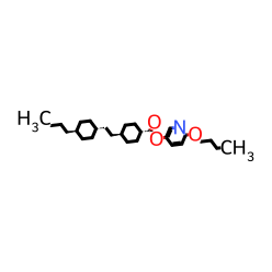 CCCCOc1ccc(OC(=O)[C@H]2CC[C@H](CC[C@H]3CC[C@H](CCCC)CC3)CC2)cn1